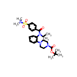 CC(C)N(C(=O)c1ccc(S(=O)(=O)N(C)C)cc1)c1ccccc1N1CCN(C(=O)OC(C)(C)C)CC1